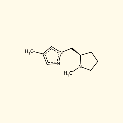 Cc1cnn(C[C@H]2CCCN2C)c1